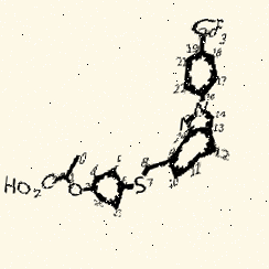 CC(Oc1ccc(SCc2cccc3cn(-c4ccc(C(F)(F)F)cc4)nc23)cc1)C(=O)O